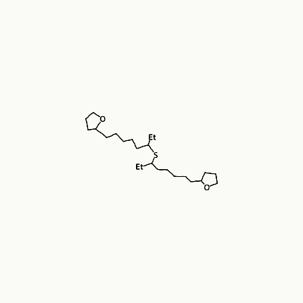 CCC(CCCCCC1CCCO1)SC(CC)CCCCCC1CCCO1